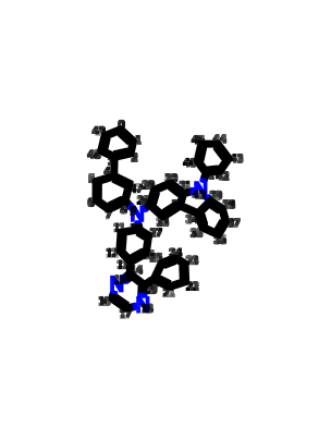 c1ccc(-c2cccc(N(c3ccc(-c4nccnc4-c4ccccc4)cc3)c3ccc4c(c3)c3ccccc3n4-c3ccccc3)c2)cc1